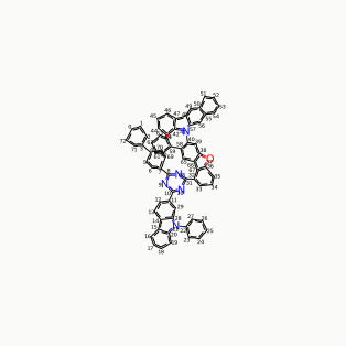 c1ccc(-c2ccc(-c3nc(-c4ccc5c6ccccc6n(-c6ccccc6)c5c4)nc(-c4cccc5oc6cc(-n7c8ccccc8c8cc9ccccc9cc87)c(-c7ccccc7)cc6c45)n3)cc2)cc1